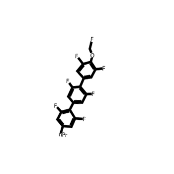 CCCc1cc(F)c(-c2cc(F)c(-c3cc(F)c(OCF)c(F)c3)c(F)c2)c(F)c1